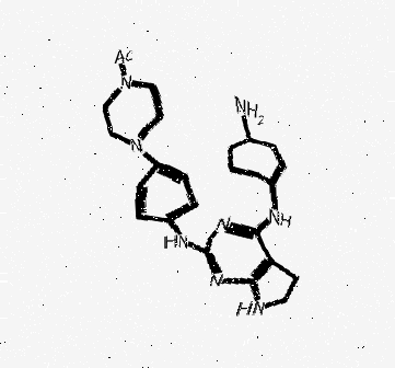 CC(=O)N1CCN(c2ccc(Nc3nc4c(c(NC5CCC(N)CC5)n3)CCN4)cc2)CC1